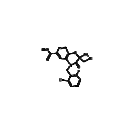 COC(=O)c1ccc2c(c1)N(Cc1c(F)cccc1Cl)C(=O)C(C)(CCl)S2